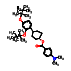 CN(C)c1ccc(C(=O)O[C@H]2CC[C@H](c3ccc(O[Si](C)(C)C(C)(C)C)cc3O[Si](C)(C)C(C)(C)C)CC2)cc1